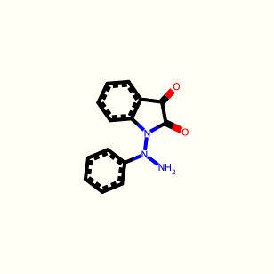 NN(c1ccccc1)N1C(=O)C(=O)c2ccccc21